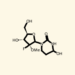 CO[C@@]1(F)C(N2CCC(O)NC2=O)O[C@H](CO)[C@H]1O